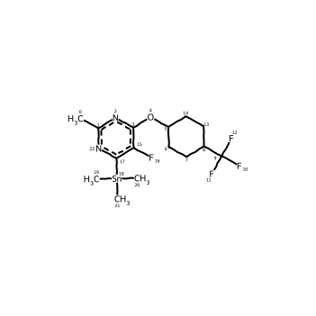 Cc1nc(OC2CCC(C(F)(F)F)CC2)c(F)[c]([Sn]([CH3])([CH3])[CH3])n1